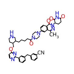 Cc1nn(C2CCC(=O)NC2=O)c(=O)c2ccc(N3CCN(C(=O)CCCCC4CNCCC4COc4ccnc(-c5cccc(Cc6cccc(C#N)c6)c5)n4)CC3)cc12